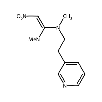 CN/C(=C\[N+](=O)[O-])N(C)CCc1cccnc1